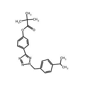 CC(C)c1ccc(Cn2nnc(-c3ccc(OC(=O)C(C)(C)C)cc3)n2)cc1